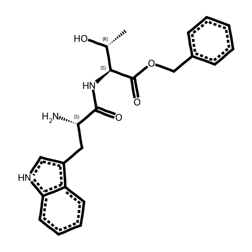 C[C@@H](O)[C@H](NC(=O)[C@@H](N)Cc1c[nH]c2ccccc12)C(=O)OCc1ccccc1